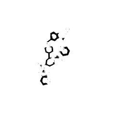 CCOc1cc(CN2CCC(C3CC(N(N)c4nc5cccnc5o4)CCN3c3nc4cccnc4o3)CC2)ccc1OC